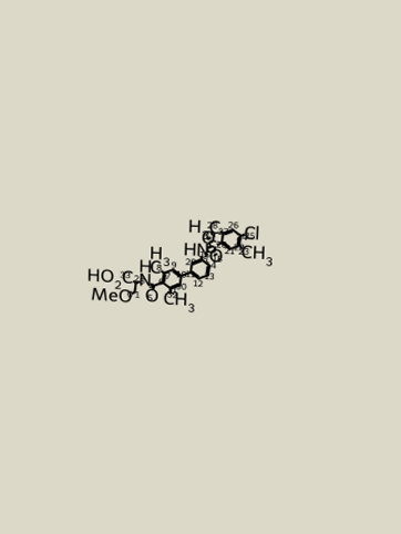 COCC(NC(=O)c1c(C)cc(-c2cccc(NS(=O)(=O)c3cc(C)c(Cl)cc3C)c2)cc1C)C(=O)O